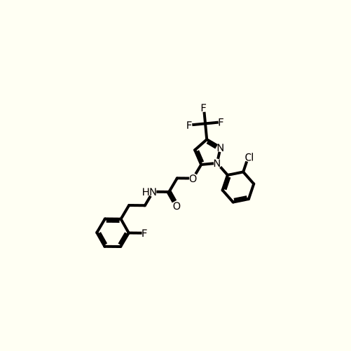 O=C(COc1cc(C(F)(F)F)nn1C1=CC=CCC1Cl)NCCc1ccccc1F